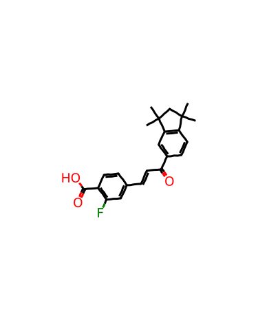 CC1(C)CC(C)(C)c2cc(C(=O)C=Cc3ccc(C(=O)O)c(F)c3)ccc21